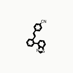 N#Cc1ccc(C=Cc2ccccc2-c2cccc3scnc23)cc1